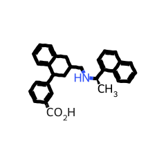 C[C@@H](NCC1Cc2ccccc2C(c2cccc(C(=O)O)c2)C1)c1cccc2ccccc12